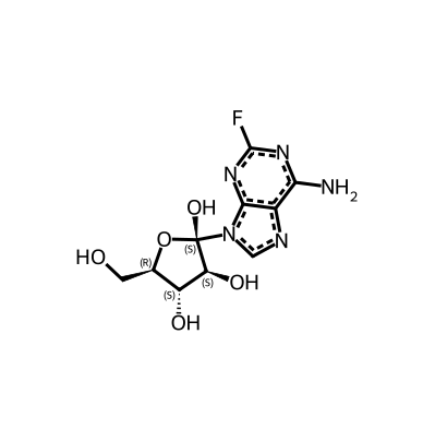 Nc1nc(F)nc2c1ncn2[C@@]1(O)O[C@H](CO)[C@@H](O)[C@@H]1O